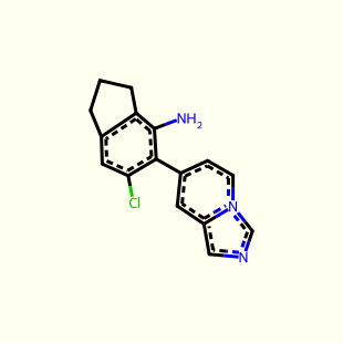 Nc1c2c(cc(Cl)c1-c1ccn3cncc3c1)CCC2